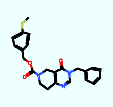 CSc1ccc(COC(=O)N2CCc3ncn(Cc4ccccc4)c(=O)c3C2)cc1